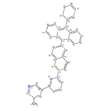 Cc1cncc(-c2cccc(-c3ccc4cc(-c5c6ccccc6c(C6=CC=CCC6)c6ccccc56)ccc4c3)n2)c1